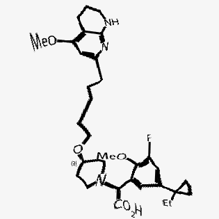 CCC1(c2cc(F)c(OC)c(C(C(=O)O)N3CC[C@@H](OCCCCCc4cc(OC)c5c(n4)NCCC5)C3)c2)CC1